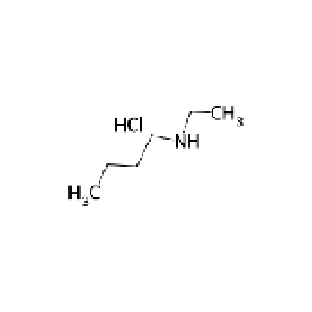 CCCCNCC.Cl